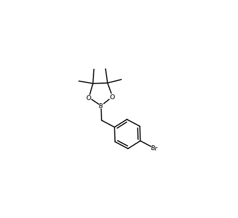 CC1(C)OB(Cc2ccc(Br)cc2)OC1(C)C